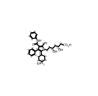 CC(C)c1c(C(=O)Nc2ccccc2)c(-c2ccccc2)c(C2CCCCC2)n1CC[C@@H](O)C[C@@H](O)CC(=O)O.[CaH2]